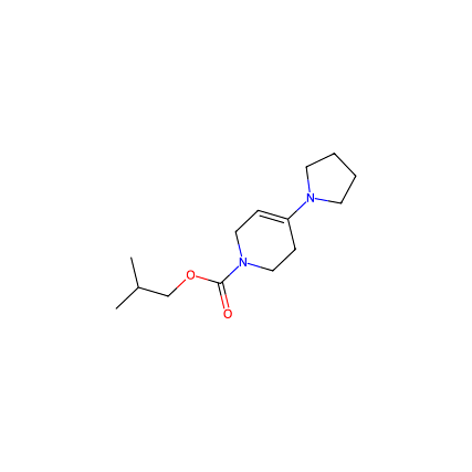 CC(C)COC(=O)N1CC=C(N2CCCC2)CC1